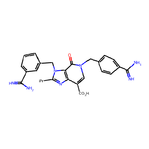 CC(C)c1nc2c(C(=O)O)cn(Cc3ccc(C(=N)N)cc3)c(=O)c2n1Cc1cccc(C(=N)N)c1